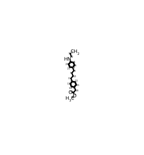 C=CCNc1ccc(CCCCc2ccc(CC(=O)OC)cc2)cc1